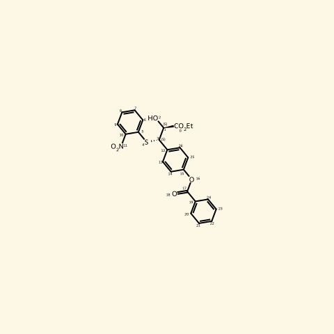 CCOC(=O)[C@H](O)[C@@H](Sc1ccccc1[N+](=O)[O-])c1ccc(OC(=O)c2ccccc2)cc1